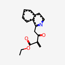 C=C(C(=O)Cc1nccc2ccccc12)C(=O)OCC